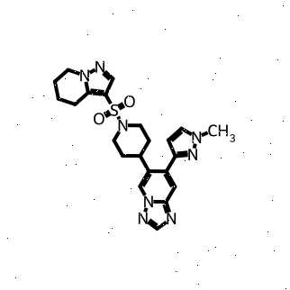 Cn1ccc(-c2cc3ncnn3cc2C2CCN(S(=O)(=O)c3cnn4c3CCCC4)CC2)n1